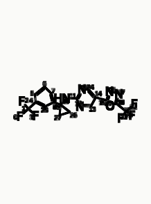 FC(F)(F)c1cccc(C2(Nc3ncc(-c4nnc(C(F)(F)F)o4)cn3)CC2)c1